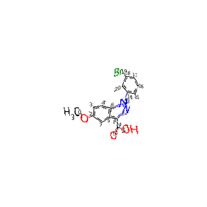 COc1ccc2c(c1)c(C(=O)O)nn2-c1cccc(Br)c1